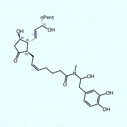 CCCCC[C@H](O)/C=C/[C@H]1[C@H](O)CC(=O)[C@@H]1C/C=C\CCCC(=O)N(C)C(O)Cc1ccc(O)c(O)c1